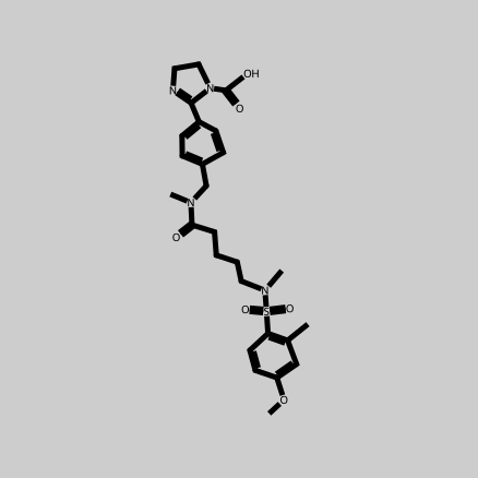 COc1ccc(S(=O)(=O)N(C)CCCCC(=O)N(C)Cc2ccc(C3=NCCN3C(=O)O)cc2)c(C)c1